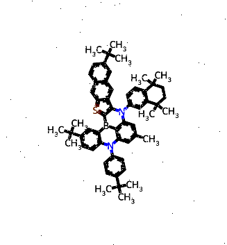 Cc1cc2c3c(c1)N(c1ccc4c(c1)C(C)(C)CCC4(C)C)c1c(sc4cc5ccc(C(C)(C)C)cc5cc14)B3c1cc(C(C)(C)C)ccc1N2c1ccc(C(C)(C)C)cc1